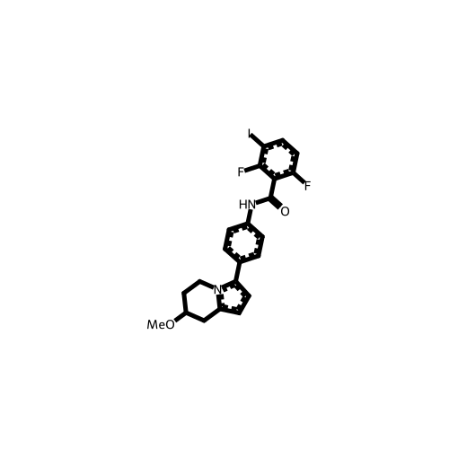 COC1CCn2c(ccc2-c2ccc(NC(=O)c3c(F)ccc(I)c3F)cc2)C1